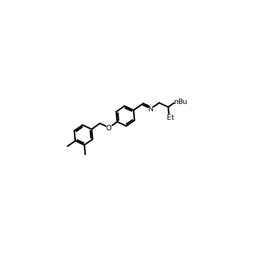 CCCCC(CC)CN=Cc1ccc(OCc2ccc(C)c(C)c2)cc1